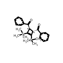 C[Si](C)(C)C1=C([Si](C)(C)C)[C@@H](C(=O)c2ccccc2)[C@@H]1C(=O)c1ccccc1